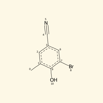 Cc1cc(C#N)cc(Br)c1O